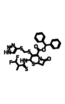 CC(C(=S)NC1SC2CC(=O)N2C(C(=O)OC(c2ccccc2)c2ccccc2)=C1SCSc1c[nH]nn1)C(F)F